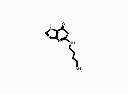 NCCCCNc1nc2nc[nH]c2c(=O)[nH]1